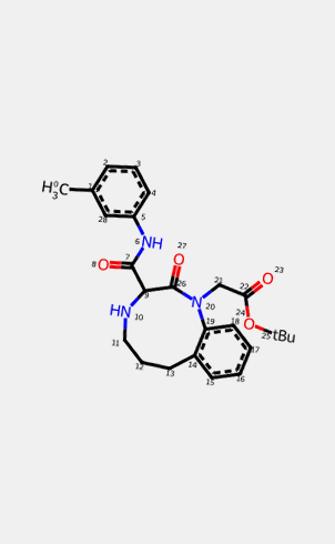 Cc1cccc(NC(=O)C2NCCCc3ccccc3N(CC(=O)OC(C)(C)C)C2=O)c1